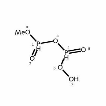 CO[PH](=O)O[PH](=O)OO